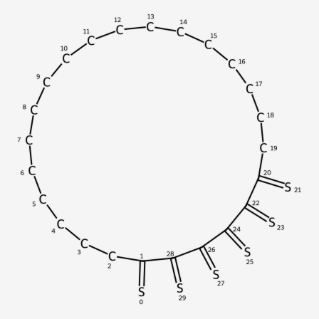 S=C1CCCCCCCCCCCCCCCCCCC(=S)C(=S)C(=S)C(=S)C1=S